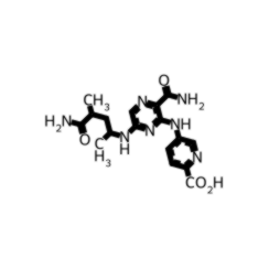 CC(CC(C)C(N)=O)Nc1cnc(C(N)=O)c(Nc2ccc(C(=O)O)nc2)n1